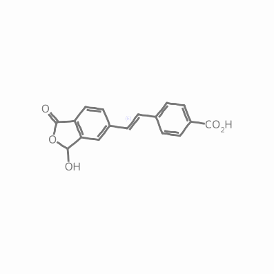 O=C(O)c1ccc(/C=C/c2ccc3c(c2)C(O)OC3=O)cc1